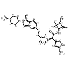 C=C1[C@@H](NC(=O)/C(=N\O[C@@H](COc2ccc3c(c2)cn([C@H]2CC[C@H](N)CC2)[n+]3C)C(=O)O)c2csc(N)n2)C(C)(C)N1CC